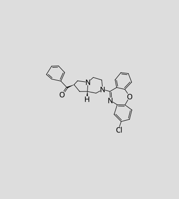 O=C(c1ccccc1)[C@@H]1C[C@H]2CN(C3=Nc4cc(Cl)ccc4Oc4ccccc43)CCN2C1